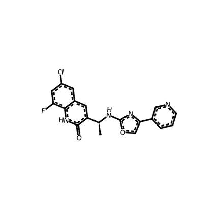 C[C@H](Nc1nc(-c2cccnc2)co1)c1cc2cc(Cl)cc(F)c2[nH]c1=O